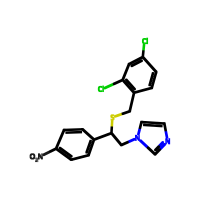 O=[N+]([O-])c1ccc(C(Cn2ccnc2)SCc2ccc(Cl)cc2Cl)cc1